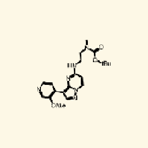 COc1cnccc1-c1cnn2ccc(NCCN(C)C(=O)OC(C)(C)C)nc12